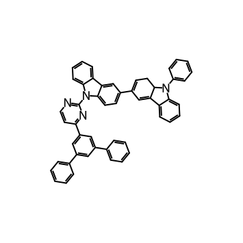 C1=C(c2ccc3c(c2)c2ccccc2n3-c2nccc(-c3cc(-c4ccccc4)cc(-c4ccccc4)c3)n2)C=C2c3ccccc3N(c3ccccc3)C2C1